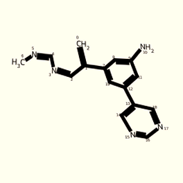 C=C(/C=N\C=N/C)c1cc(N)cc(-c2cncnc2)c1